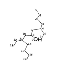 CCCCC(CC)CC(O)CC(CC)CCCC